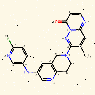 Cc1cc2nccc(=O)n2nc1N1CCc2ncc(Nc3ccc(F)nc3)cc2C1